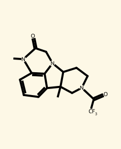 CN1C(=O)CN2c3c1cccc3C1(C)CN(C(=O)C(F)(F)F)CCC21